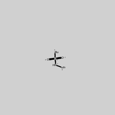 CCCNS(=O)(=O)C(C)CC